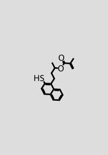 C=C(C)C(=O)OC(C)CCc1c(S)ccc2ccccc12